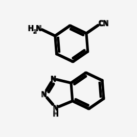 N#Cc1cccc(N)c1.c1ccc2[nH]nnc2c1